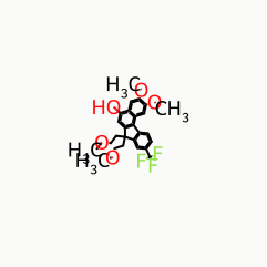 COCCC1(CCOC)c2cc(C(F)(F)F)ccc2-c2c1cc(O)c1cc(OC)c(OC)cc21